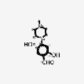 CN1CCN(c2ccc(C=O)c(O)c2)CC1.Cl